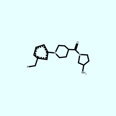 NC1CCN(C(=O)C2CCN(c3cccc(CF)c3)CC2)C1